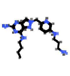 CCCCNc1nc(N)nc2cn(Cc3ccc(NCCCN)cn3)nc12